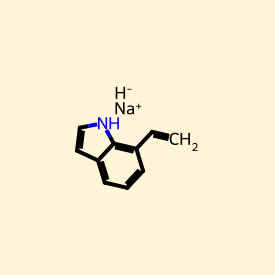 C=Cc1cccc2cc[nH]c12.[H-].[Na+]